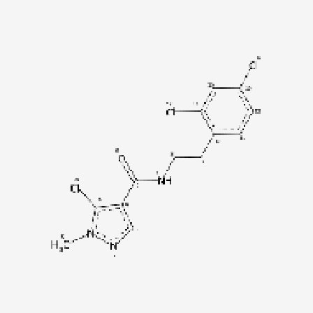 Cn1ncc(C(=O)NCCc2ccc(Cl)cc2Cl)c1Cl